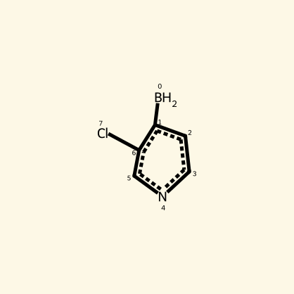 Bc1ccncc1Cl